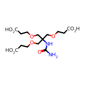 NC(=O)NC(COCCC(=O)O)(COCCC(=O)O)COCCC(=O)O